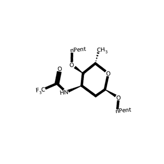 CCCCCO[C@H]1C[C@@H](NC(=O)C(F)(F)F)[C@@H](OCCCCC)[C@H](C)O1